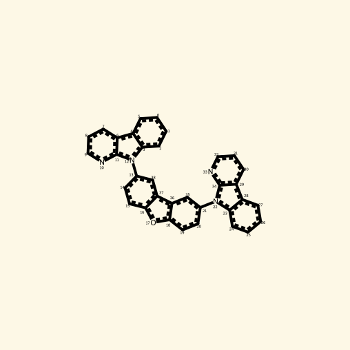 c1ccc2c(c1)c1cccnc1n2-c1ccc2oc3ccc(-n4c5ccccc5c5cccnc54)cc3c2c1